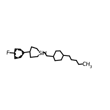 CCCCCC1CCC(CC[SiH]2CCC(c3ccc(F)cc3)CC2)CC1